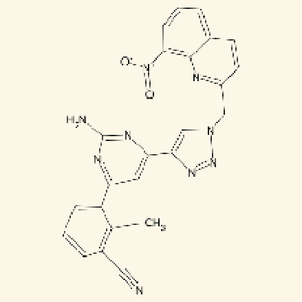 Cc1c(C#N)cccc1-c1cc(-c2cn(Cc3ccc4cccc([N+](=O)[O-])c4n3)nn2)nc(N)n1